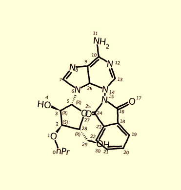 CCCO[C@H]1[C@@H](O)[C@H](N2C=NC3=C(N)N=CN(N4C(=O)c5ccccc5C4=O)C32)O[C@@H]1CO